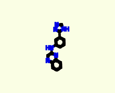 c1cc(Nc2cnc3ccccc3n2)cc(-c2nnc[nH]2)c1